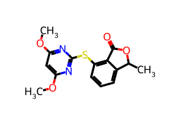 COc1cc(OC)nc(Sc2cccc3c2C(=O)OC3C)n1